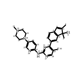 CCC1(C)C(C)=Cc2ccc(-c3nc(Nc4ccc(N5CCN(C)CC5)cn4)ncc3F)cc21